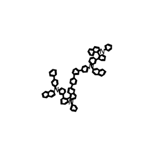 c1ccc(-c2ccc(N(c3cccc(-c4cccc5c4c4c6ccc(-c7ccc(-c8cccc(-c9ccc(N(c%10cccc(-c%11cccc%12c%11c%11c%13ccccc%13ccc%11n%12-c%11ccccc%11)c%10)c%10ccc%11ccccc%11c%10)cc9)c8)cc7)cc6ccc4n5-c4ccccc4)c3)c3ccc4ccccc4c3)cc2)cc1